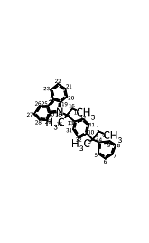 CCC(C)(c1ccccc1)c1ccc(C(C)(CC)n2c3ccccc3c3ccccc32)cc1